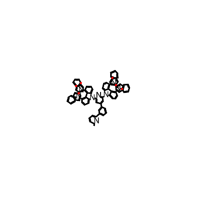 Cc1cccc(-c2cccc(-c3cc(-n4c5cccc(N(c6ccccc6)c6ccccc6)c5c5c(N(c6ccccc6)c6ccccc6)cccc54)nc(-n4c5cccc(N(c6ccccc6)c6ccccc6)c5c5c(N(c6ccccc6)c6ccccc6)cccc54)c3)c2)n1